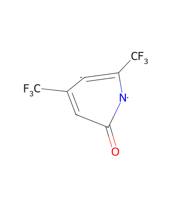 O=C1C=C(C(F)(F)F)[C]=C(C(F)(F)F)[N]1